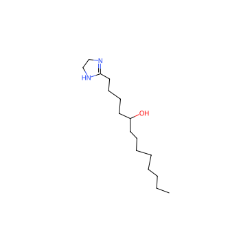 CCCCCCCCC(O)CCCCC1=NCCN1